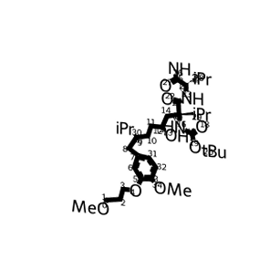 COCCCOc1cc(C[C@H](CC[C@H](O)C[C@@](NC(=O)OC(C)(C)C)(C(=O)N[C@H](C(N)=O)C(C)C)C(C)C)C(C)C)ccc1OC